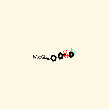 COCC=C[C@H]1CC[C@H](c2ccc(C(=O)Oc3ccc(F)c(F)c3)cc2)CC1